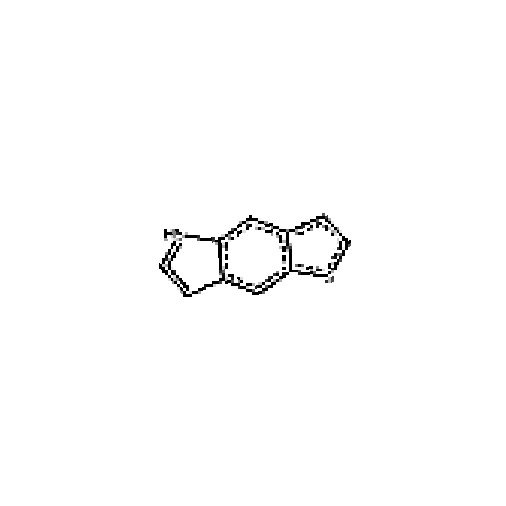 C1=Cc2cc3sccc3cc2[SH]=1